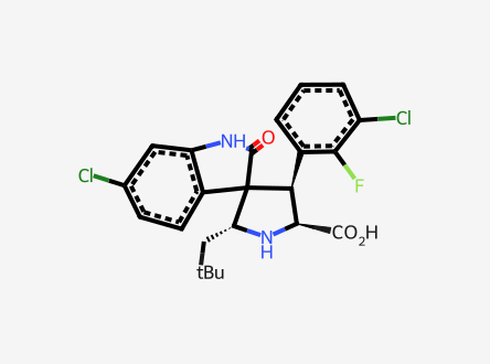 CC(C)(C)C[C@H]1N[C@H](C(=O)O)[C@H](c2cccc(Cl)c2F)C12C(=O)Nc1cc(Cl)ccc12